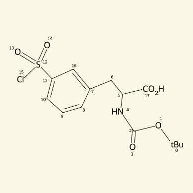 CC(C)(C)OC(=O)NC(Cc1cccc(S(=O)(=O)Cl)c1)C(=O)O